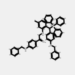 Cc1ccc(C(c2ccc(OCc3ccccc3)cc2)[PH](c2ccccc2)(c2ccccc2)c2ccccc2)c(OCC(=O)c2ccc(OCc3ccccc3)cc2)c1